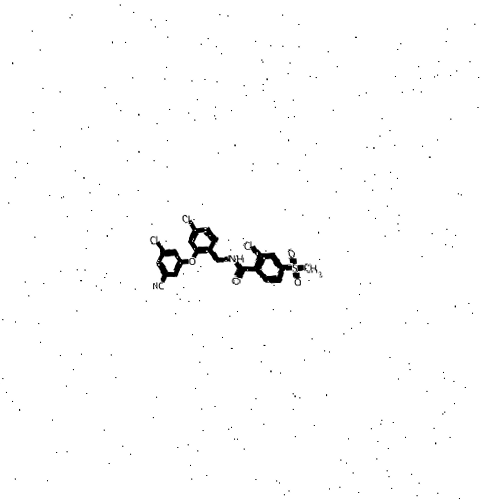 CS(=O)(=O)c1ccc(C(=O)NCc2ccc(Cl)cc2Oc2cc(Cl)cc(C#N)c2)c(Cl)c1